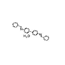 C(=Nc1ccc(-c2ccc(N=Cc3ccccc3)cc2)cc1)c1ccccc1.O